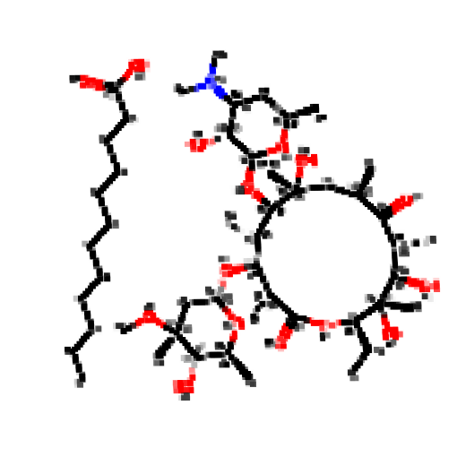 CCCCCCCCCCCC(=O)O.CC[C@H]1OC(=O)[C@H](C)[C@@H](O[C@H]2C[C@@](C)(OC)[C@@H](O)[C@H](C)O2)[C@H](C)[C@@H](O[C@@H]2O[C@H](C)C[C@H](N(C)C)[C@H]2O)[C@](C)(O)C[C@@H](C)C(=O)[C@H](C)[C@@H](O)[C@]1(C)O